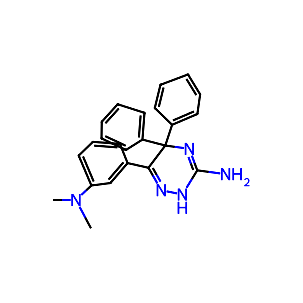 CN(C)c1cccc(C2=NNC(N)=NC2(c2ccccc2)c2ccccc2)c1